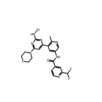 CCNc1nc(-c2cc(NC(=O)c3ccnc(C(F)F)c3)cnc2C)cc(N2CCOCC2)n1